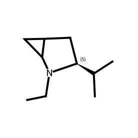 CCN1C2CC2C[C@H]1C(C)C